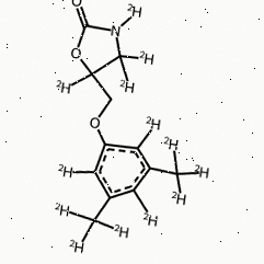 [2H]c1c(OCC2([2H])OC(=O)N([2H])C2([2H])[2H])c([2H])c(C([2H])([2H])[2H])c([2H])c1C([2H])([2H])[2H]